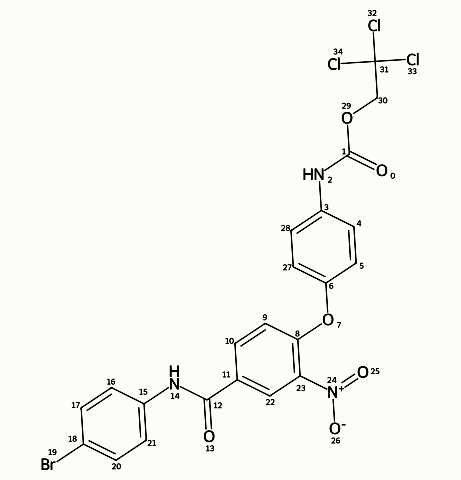 O=C(Nc1ccc(Oc2ccc(C(=O)Nc3ccc(Br)cc3)cc2[N+](=O)[O-])cc1)OCC(Cl)(Cl)Cl